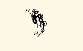 CCOCCCNC(=O)c1ccc2c(-c3c(-c4cccc(C)n4)nn4ccccc34)ccnc2c1